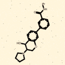 CC(C)NC(=O)c1cccc(-c2ccc3c(c2)OCC(N2CCCC2)C3O)c1